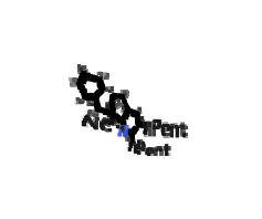 CCCCCc1cc2c(nc1CCCCC)[C@](C#N)(Cc1ccccc1)CC2